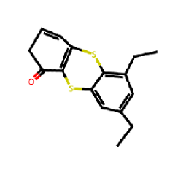 CCc1cc(CC)c2c(c1)SC1=C(C=CCC1=O)S2